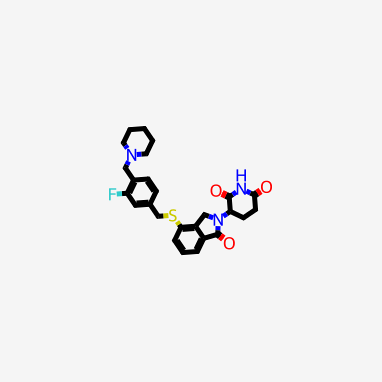 O=C1CCC(N2Cc3c(SCc4ccc(CN5CCCCC5)c(F)c4)cccc3C2=O)C(=O)N1